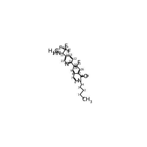 CCCCCn1ccc2cc(-c3ccc(C(NC)C(F)(F)F)cn3)c(F)cc2c1=O